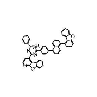 c1ccc(C2N=C(c3ccnc4oc5ccccc5c34)N=C(c3ccc(-c4cccc5c(-c6cccc7oc8ccccc8c67)cccc45)cc3)N2)cc1